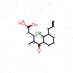 C=CCC1CCCC(C(=O)C(C)CCC(=O)O)C1Cl